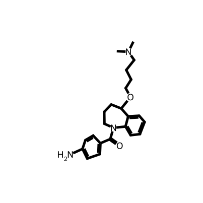 CN(C)CCCCOC1CCCN(C(=O)c2ccc(N)cc2)c2ccccc21